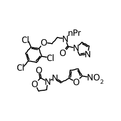 CCCN(CCOc1c(Cl)cc(Cl)cc1Cl)C(=O)n1ccnc1.O=C1OCCN1N=Cc1ccc([N+](=O)[O-])o1